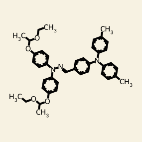 CCOC(C)Oc1ccc(N(N=Cc2ccc(N(c3ccc(C)cc3)c3ccc(C)cc3)cc2)c2ccc(OC(C)OCC)cc2)cc1